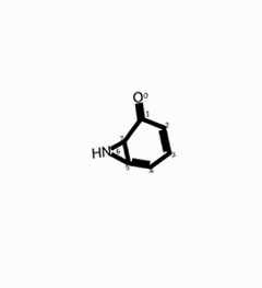 O=C1C=CC=C2NC12